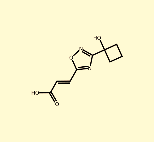 O=C(O)/C=C/c1nc(C2(O)CCC2)no1